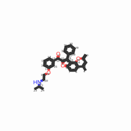 C=C1C=C(C)c2ccc3oc(C(=O)c4cccc(OCCNC(C)C)c4)c(-c4ccccc4)c3c2O1